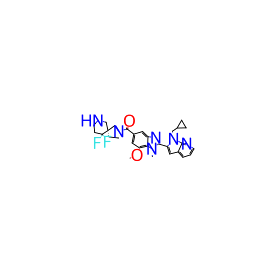 COc1cc(C(=O)N2CC[C@]3(CNCCC3(F)F)C2)cc2nc(-c3cc4cccnc4n3CC3CC3)n(C)c12